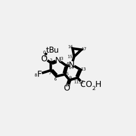 CC(C)(C)Oc1nc2c(cc1F)c(=O)c(C(=O)O)cn2C1CC1